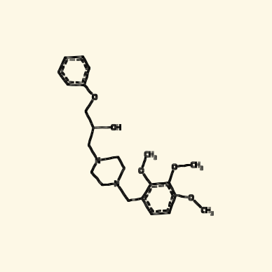 COc1ccc(CN2CCN(CC(O)COc3ccccc3)CC2)c(OC)c1OC